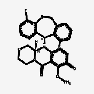 O=C1c2c(OP)c(=O)ccn2N([C@@H]2c3cccc(F)c3SCc3cccc(F)c32)[C@@H]2COCCN12